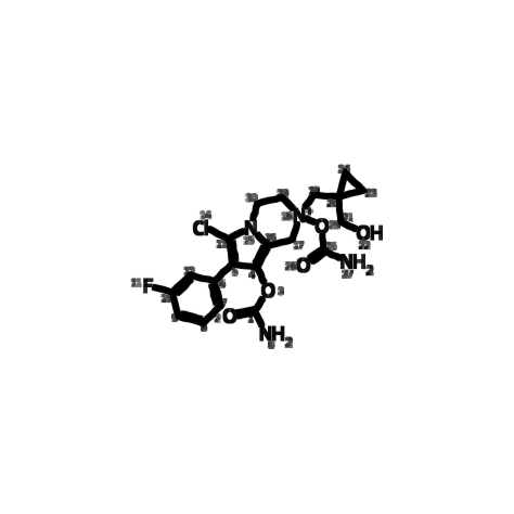 NC(=O)Oc1c(-c2cccc(F)c2)c(Cl)n2c1C[N+](CC1(CO)CC1)(OC(N)=O)CC2